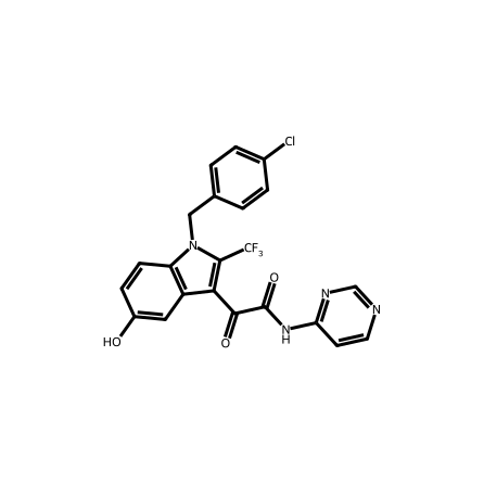 O=C(Nc1ccncn1)C(=O)c1c(C(F)(F)F)n(Cc2ccc(Cl)cc2)c2ccc(O)cc12